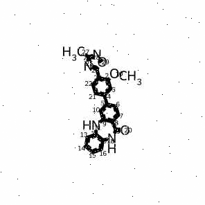 COc1cc(-c2ccc3c(c2)Nc2cc[c]cc2NC3=O)ccc1-c1nc(C)no1